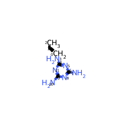 C=CC.Nc1nc(N)nc(N)n1